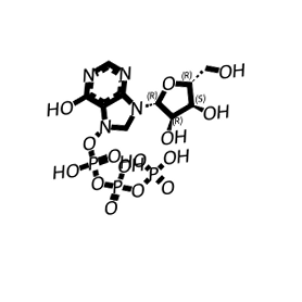 O=P(O)(O)OP(=O)(O)OP(=O)(O)ON1CN([C@@H]2O[C@H](CO)[C@@H](O)[C@H]2O)c2ncnc(O)c21